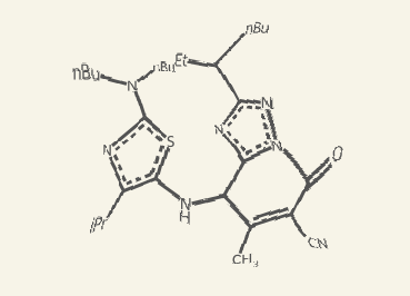 CCCCC(CC)c1nc2n(n1)C(=O)C(C#N)=C(C)C2Nc1sc(N(CCCC)CCCC)nc1C(C)C